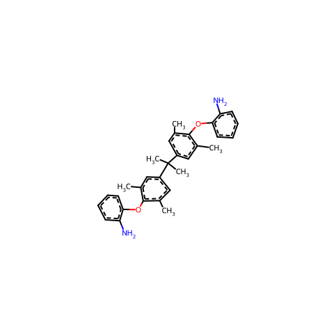 Cc1cc(C(C)(C)c2cc(C)c(Oc3ccccc3N)c(C)c2)cc(C)c1Oc1ccccc1N